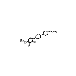 C=CCCC1CCC(C2CCC(c3ccc(OCC)c(F)c3F)CC2)CC1